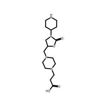 O=C(O)CCN1CCN(CC2CN(C3CCNCC3)C(=O)O2)CC1